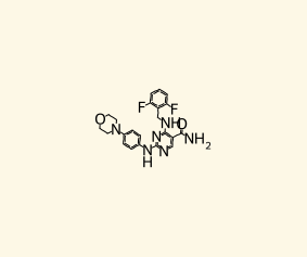 NC(=O)c1cnc(Nc2ccc(N3CCOCC3)cc2)nc1NCc1c(F)cccc1F